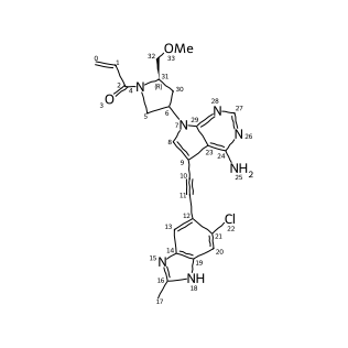 C=CC(=O)N1CC(n2cc(C#Cc3cc4nc(C)[nH]c4cc3Cl)c3c(N)ncnc32)C[C@@H]1COC